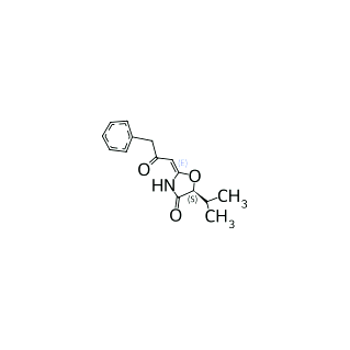 CC(C)[C@@H]1O/C(=C/C(=O)Cc2ccccc2)NC1=O